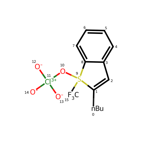 CCCCC1=Cc2ccccc2S1(O[Cl+3]([O-])([O-])[O-])C(F)(F)F